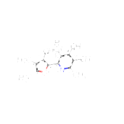 Cc1nc(-c2oc(C)c(C)c2C)c(C)c(C)c1C